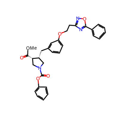 COC(=O)[C@H]1CN(C(=O)Oc2ccccc2)C[C@H]1Cc1cccc(OCCc2noc(-c3ccccc3)n2)c1